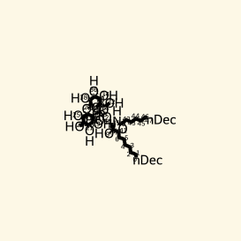 CCCCCCCCCCCCCCCCC[C@@H](O)[C@H](COP(=O)(O)O[C@H]1C(O)C(O)C(O)[C@@H](O)C1O[C@H]1O[C@H](CO)[C@@H](O)C(O)C1O)NC(=O)CCCCCCCCCCCCCCC